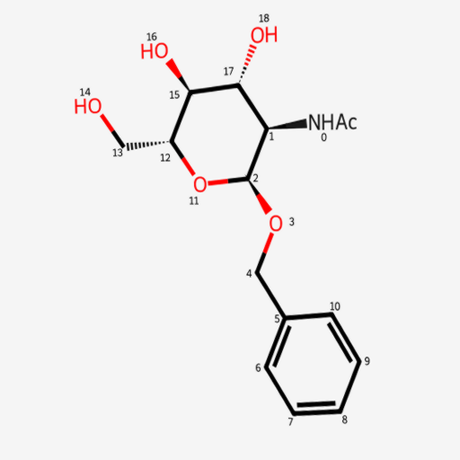 CC(=O)N[C@H]1[C@@H](OCc2ccccc2)O[C@H](CO)[C@@H](O)[C@@H]1O